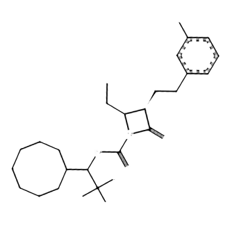 CCC1[C@@H](CCc2cccc(Cl)c2)C(=O)N1C(=O)NC(C1CCCCCCC1)C(F)(F)F